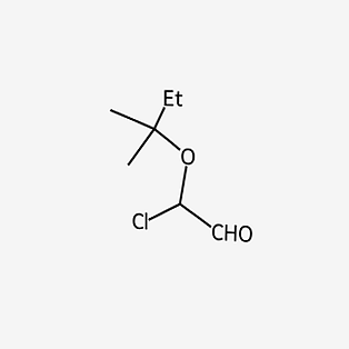 CCC(C)(C)OC(Cl)C=O